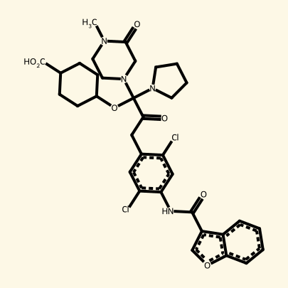 CN1CCN(C(OC2CCC(C(=O)O)CC2)(C(=O)Cc2cc(Cl)c(NC(=O)c3coc4ccccc34)cc2Cl)N2CCCC2)CC1=O